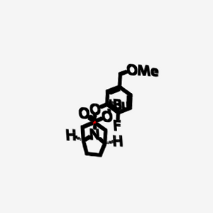 COCc1ccc(F)c(O[C@H]2C[C@H]3CC[C@@H](C2)N3C(=O)OC(C)(C)C)c1